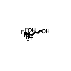 OCCCCC(O)(C(F)(F)F)C(F)(F)F